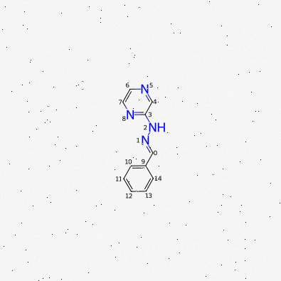 C(=NNc1cnccn1)c1ccccc1